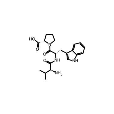 CC(C)[C@H](N)C(=O)N[C@@H](Cc1c[nH]c2ccccc12)C(=O)N1CCC[C@H]1C(=O)O